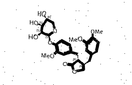 COc1ccc(C[C@H]2COC(=O)[C@@H]2Cc2ccc(O[C@@H]3OC[C@@H](O)[C@H](O)[C@@H]3O)c(OC)c2)cc1OC